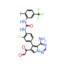 Nc1ncnn2cc(C(=O)C=O)c(-c3ccc(NC(=O)Nc4cc(C(F)(F)F)ccc4I)c(F)c3)c12